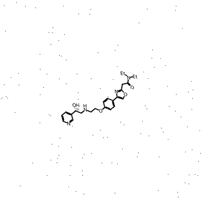 CCN(CC)C(=O)Cc1nc(-c2ccc(OCCNC[C@@H](O)c3cccnc3)cc2)co1